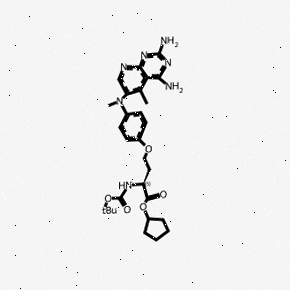 Cc1c(N(C)c2ccc(OCC[C@H](NC(=O)OC(C)(C)C)C(=O)OC3CCCC3)cc2)cnc2nc(N)nc(N)c12